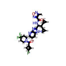 Cc1nonc1C(=O)N[C@H](c1nc2nc([C@H]3CC(F)(F)CCN3C(=O)C34CC(F)(C3)C4)ccc2[nH]1)C(C1CC1)C1CC1